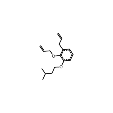 C=CCOc1c(CC=C)cccc1OCCC(C)C